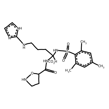 Cc1cc(C)c(S(=O)(=O)NC(CCCNc2ncc[nH]2)(NC(=O)C2CCNO2)C(=O)O)c(C)c1